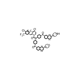 O=C(c1ccc(N(C(=O)C2C=CC(Cl)=C(C(F)(F)F)C2=Cc2ccc(Cl)c(C(F)(F)F)c2)c2ccc(C(=O)c3ccc4ncc(N5CCOCC5)nc4c3)cc2)cc1)c1ccc2ncc(N3CCNCC3)nc2c1